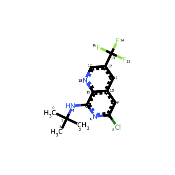 CC(C)(C)Nc1nc(Cl)cc2cc(C(F)(F)F)cnc12